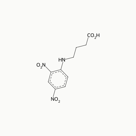 O=C(O)CCCNc1ccc([N+](=O)[O-])cc1[N+](=O)[O-]